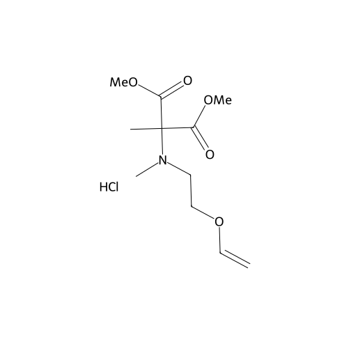 C=COCCN(C)C(C)(C(=O)OC)C(=O)OC.Cl